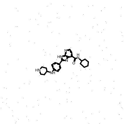 O=C(NC1CCCCC1)c1ccnc2[nH]c(-c3ccc(NC4CCNCC4)cc3)nc12